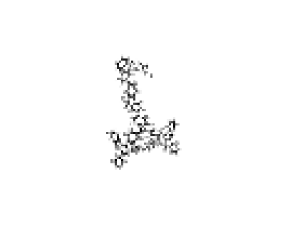 CCCCCCCC1(CCCCCCC)c2ccccc2-c2ccc(-c3ccc4c(c3)C(C)(C)c3cc(-c5ccc(N(c6ccc7c(c6)C(C)(C)c6c8c(c9oc%10ccccc%10c9c6-7)-c6ccccc6C8(C)C)c6ccc7c(c6)C(CCCCCCC)(CCCCCCC)c6cc(-c8ccccc8)c8oc9ccccc9c8c6-7)cc5)ccc3-4)cc21